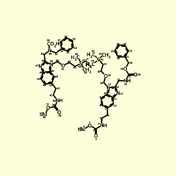 CC(C)(C)OC(=O)NCCc1ccc2c(c1)nc(CNC(=O)OCc1ccccc1)n2COCC[Si](C)(C)C.CC(C)(C)OC(=O)NCCc1ccc2nc(CN(Cc3ccccc3)C(=O)O)n(COCC[Si](C)(C)C)c2c1